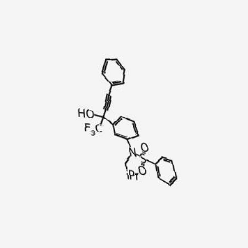 CC(C)CN(c1cccc(C(O)(C#Cc2ccccc2)C(F)(F)F)c1)S(=O)(=O)c1ccccc1